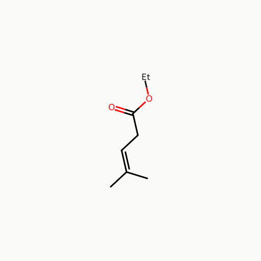 [CH2]COC(=O)CC=C(C)C